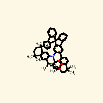 CC(C)c1cc2c(cc1N(c1ccccc1)c1cc3c(cc1-c1ccc4c(c1)C(C)(C)CCC4(C)C)-c1ccccc1C31c3ccccc3-c3ccccc31)C(C)(C)CCC2(C)C